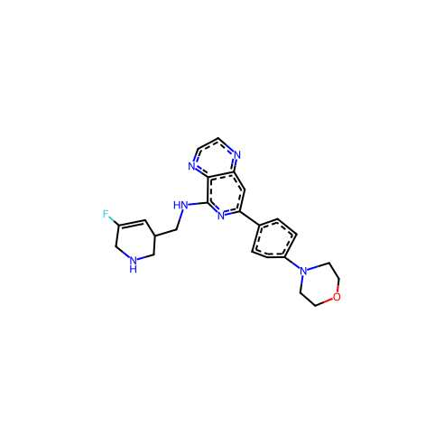 FC1=CC(CNc2nc(-c3ccc(N4CCOCC4)cc3)cc3nccnc23)CNC1